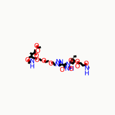 CC[C@H]1O[C@@H](n2cc(-c3cn(CCOCCOCCOC4OC(COC(C)=O)C(C)C(C)C4NC(C)=O)nn3)c(=O)[nH]c2=O)CC1OC(=O)CCC(=O)NC